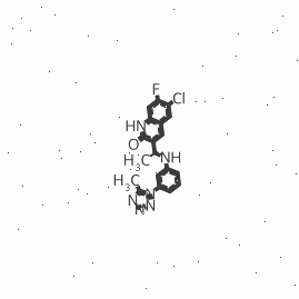 Cc1nnnn1-c1cccc(N[C@@H](C)c2cc3cc(Cl)c(F)cc3[nH]c2=O)c1